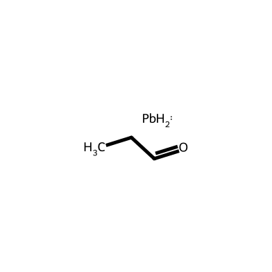 CCC=O.[PbH2]